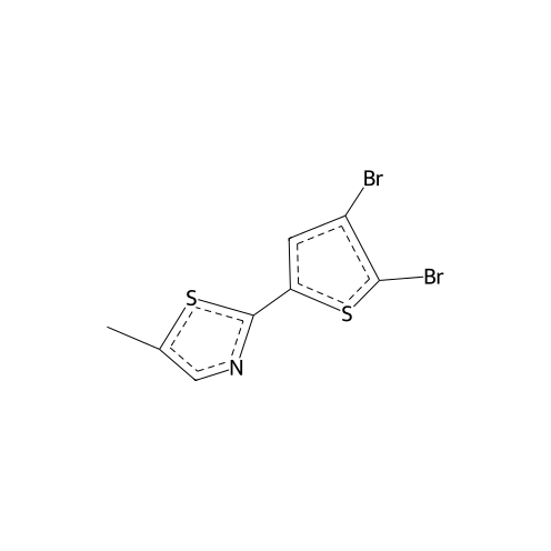 Cc1cnc(-c2cc(Br)c(Br)s2)s1